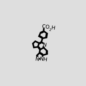 O=C(O)c1ccc(-c2nc3ccc4[nH]ncc4c3c3c2CCC3)cc1